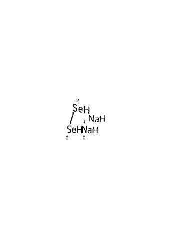 [NaH].[NaH].[SeH][SeH]